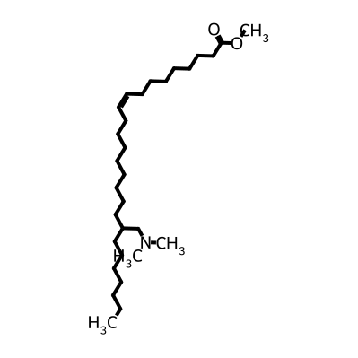 CCCCCCCC(CCCCCCCC/C=C\CCCCCCCC(=O)OC)CN(C)C